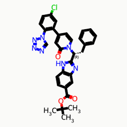 CC(C)(C)OC(=O)c1ccc2[nH]c([C@@H](Cc3ccccc3)n3ccc(-c4cc(Cl)ccc4-n4cnnn4)cc3=O)nc2c1